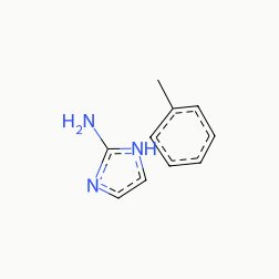 Cc1ccccc1.Nc1ncc[nH]1